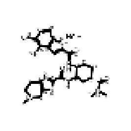 CN1CCc2nc(C(=O)NC3C[C@@H](C(=O)N(C)C)CC[C@@H]3NC(=O)c3cc4c(F)c(Cl)ccc4[nH]3)sc2C1.Cl